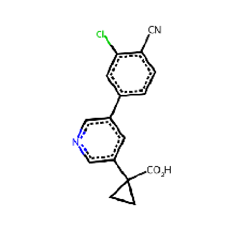 N#Cc1ccc(-c2cncc(C3(C(=O)O)CC3)c2)cc1Cl